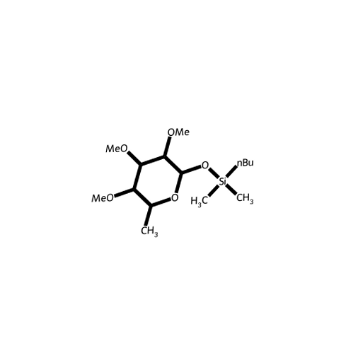 CCCC[Si](C)(C)OC1OC(C)C(OC)C(OC)C1OC